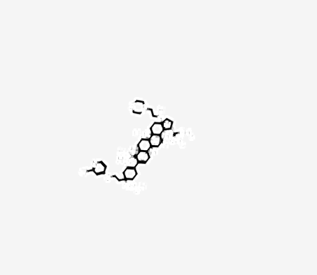 C=C(C)[C@@H]1CC[C@]2(NCCN3CCSCC3)CC[C@]3(C)[C@H](CC[C@@H]4[C@@]5(C)CC=C(C6=CCC(CCOc7ccnc(Cl)c7)(C(=O)O)CC6)C(C)(C)[C@@H]5CC[C@]43C)[C@@H]12